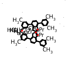 CCCC1=Cc2c(-c3cc(C)cc(C)c3)ccc(-c3cc(C)cc(C)c3)c2[CH]1[Zr]([CH3])([CH3])(=[SiH2])[CH]1C(CCC)=Cc2c(-c3cc(C)cc(C)c3)ccc(-c3cc(C)cc(C)c3)c21.Cl.Cl